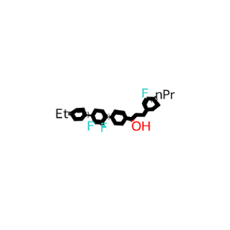 CCC[C@H]1CCC(CCC(O)C2C=CC([C@H]3CCC([C@@H]4C=CC(CC)CC4)C(F)=C3F)CC2)C=C1F